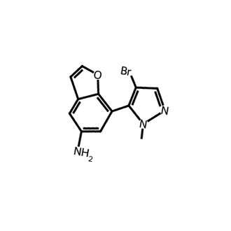 Cn1ncc(Br)c1-c1cc(N)cc2ccoc12